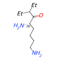 CCC(CC)C(=O)[C@@H](N)CCCCN